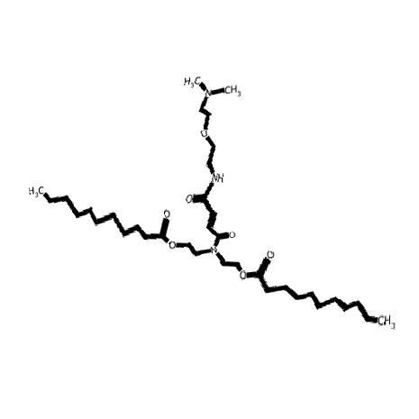 CCCCCCCCCCC(=O)OCCN(CCOC(=O)CCCCCCCCCC)C(=O)C=CC(=O)NCCOCCN(C)C